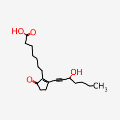 CCCCC(O)C#CC1=C(CCCCCCC(=O)O)C(=O)CC1